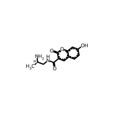 C[C@@H](N)CNC(=O)c1cc2ccc(O)cc2oc1=O